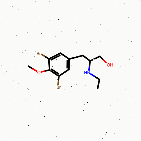 CCNC(CO)Cc1cc(Br)c(OC)c(Br)c1